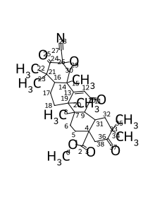 COC(=O)C12CCC3(C)C(C(=O)C=C4C5(C)C(CCC43C)C(C)(C)C(=O)C3(C#N)OC35)C1CC(C)(C)C(=O)C2